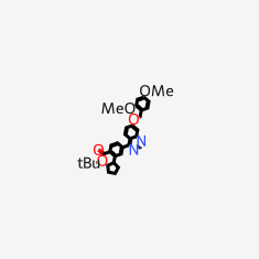 COc1ccc(COc2ccc3c(-c4ccc(C(=O)OC(C)(C)C)c(C5CCCC5)c4)ncnc3c2)c(OC)c1